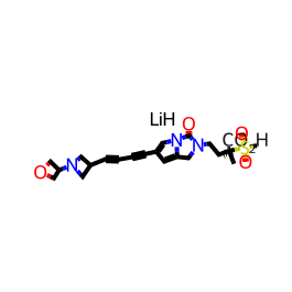 C[C@@](CCN1Cc2cc(C#CC#CC3CN(C4COC4)C3)cn2C1=O)(C(=O)O)S(C)(=O)=O.[LiH]